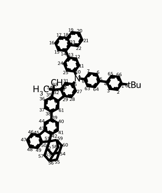 CC(C)(C)c1ccc(-c2ccc(N(c3ccc(-c4cccc5ccccc45)cc3)c3ccc4c(c3)C(C)(C)c3ccc(-c5ccc6c(c5)-c5ccccc5C65C6CC7CC(C6)CC5C7)cc3-4)cc2)cc1